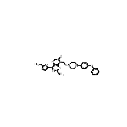 Cc1ccc(-c2nc(N)nc3c2ncc(=O)n3CCN2CCN(c3ccc(Oc4ccccc4)cc3)CC2)o1